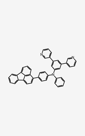 c1ccc(N(c2ccc(-c3ccc4c5c(cccc35)-c3ccccc3-4)cc2)c2cc(-c3cccnc3)cc(-c3cccnc3)c2)cc1